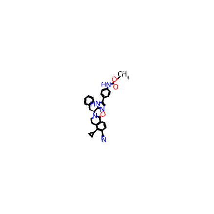 CCOC(=O)Nc1ccc(-c2cnc([C@H](Cc3ccccc3)N3CCc4c(ccc(C#N)c4C4CC4)C3=O)[nH]2)cc1